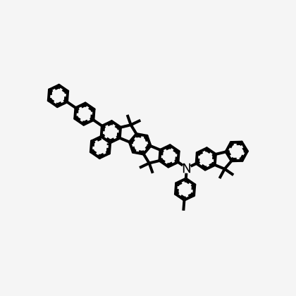 Cc1ccc(N(c2ccc3c(c2)C(C)(C)c2ccccc2-3)c2ccc3c(c2)C(C)(C)c2cc4c(cc2-3)C(C)(C)c2cc(-c3ccc(-c5ccccc5)cc3)c3ccccc3c2-4)cc1